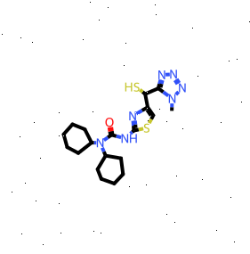 Cn1nnnc1C(S)c1csc(NC(=O)N(C2CCCCC2)C2CCCCC2)n1